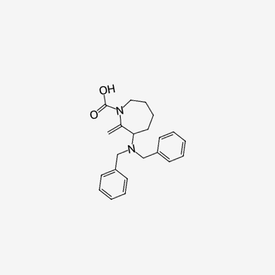 C=C1C(N(Cc2ccccc2)Cc2ccccc2)CCCCN1C(=O)O